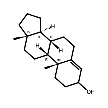 C[C@@]12CCC[C@H]1[C@@H]1CCC3=CC(O)CC[C@]3(C)[C@@H]1CC2